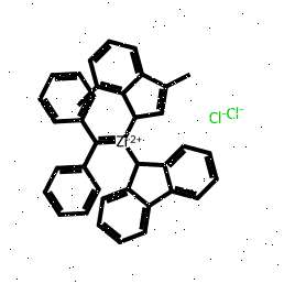 CC1=C[CH]([Zr+2](=[C](c2ccccc2)c2ccccc2)[CH]2c3ccccc3-c3ccccc32)c2c(C)cccc21.[Cl-].[Cl-]